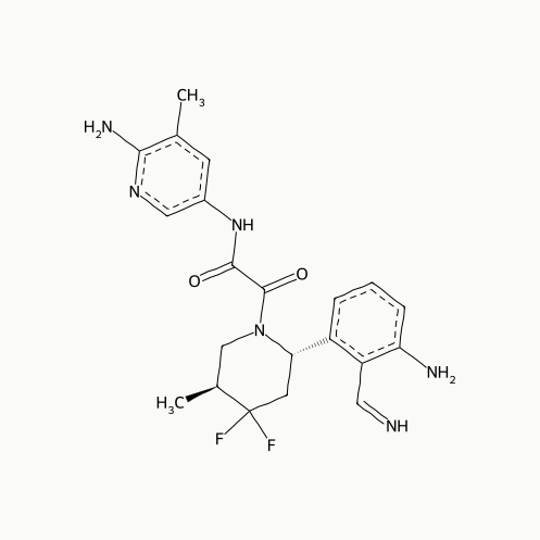 Cc1cc(NC(=O)C(=O)N2C[C@H](C)C(F)(F)C[C@H]2c2cccc(N)c2C=N)cnc1N